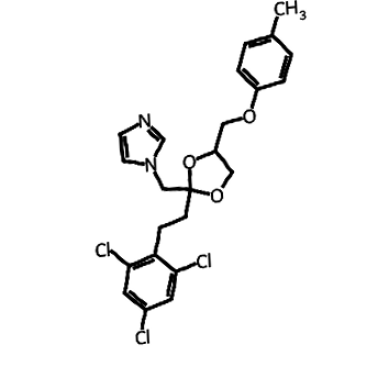 Cc1ccc(OCC2COC(CCc3c(Cl)cc(Cl)cc3Cl)(Cn3ccnc3)O2)cc1